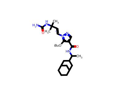 CC(C)COc1c(C(=O)NC(C)C2CC3CCCC(C3)C2)cnn1/C=C/C(C)(C)NC(N)=O